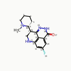 CN1CCCC[C@@H]1[C@@H]1CNc2cc(F)cc3c(=O)[nH]nc1c23